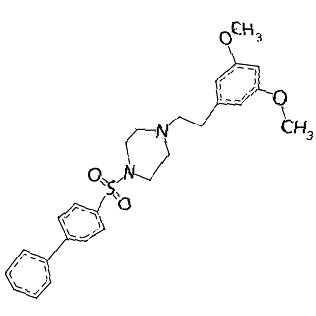 COc1cc(CCN2CCN(S(=O)(=O)c3ccc(-c4ccccc4)cc3)CC2)cc(OC)c1